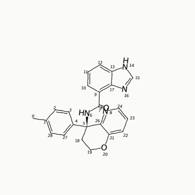 Cc1ccc([C@@]2(NC(=O)c3cccc4[nH]cnc34)CCOc3cccnc32)cc1